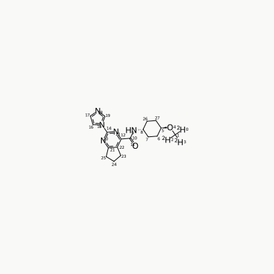 [2H]C([2H])([2H])O[C@H]1CC[C@H](NC(=O)c2nc(-n3ccnc3)nc3c2CCC3)CC1